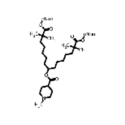 CCCCCCCCCOC(=O)C(C)(C)CCCCCC(CCCCCC(C)(C)C(=O)OCCCCCCCCC)OC(=O)C1CCN(C)CC1